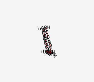 C[Si](C)(CCCOCCOCCOCCOCCOCCOCCOCCOCCOCCO)O[Si](C)(C)O[Si](C)(C)CCCOCCOCCOCCOCCOCCOCCOCCOCCOCCO